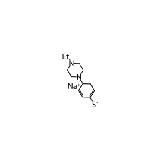 CCN1CCN(c2ccc([S-])cc2)CC1.[Na+]